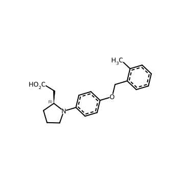 Cc1ccccc1COc1ccc(N2CCC[C@H]2CC(=O)O)cc1